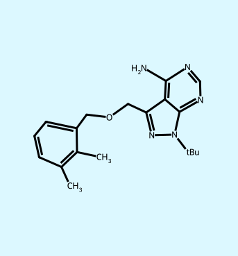 Cc1cccc(COCc2nn(C(C)(C)C)c3ncnc(N)c23)c1C